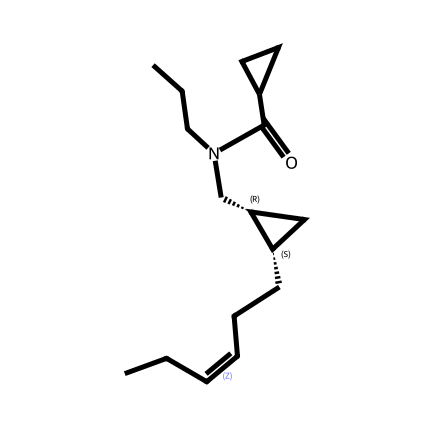 CC/C=C\CC[C@H]1C[C@H]1CN(CCC)C(=O)C1CC1